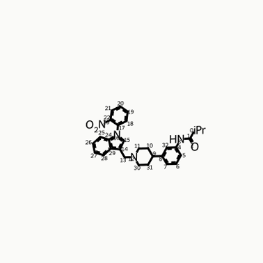 CC(C)C(=O)Nc1cccc(C2CCN(Cc3cn(-c4ccccc4[N+](=O)[O-])c4ccccc34)CC2)c1